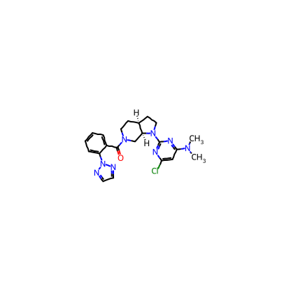 CN(C)c1cc(Cl)nc(N2CC[C@@H]3CCN(C(=O)c4ccccc4-n4nccn4)C[C@@H]32)n1